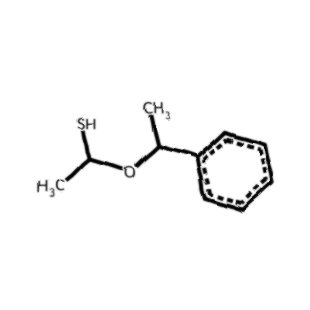 CC(S)OC(C)c1ccccc1